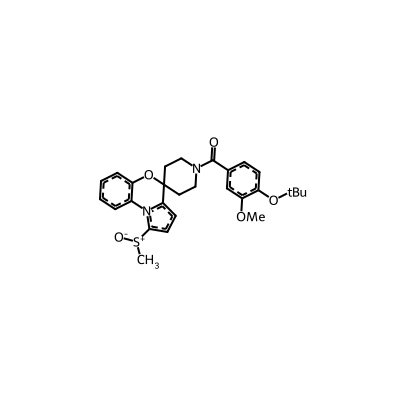 COc1cc(C(=O)N2CCC3(CC2)Oc2ccccc2-n2c([S+](C)[O-])ccc23)ccc1OC(C)(C)C